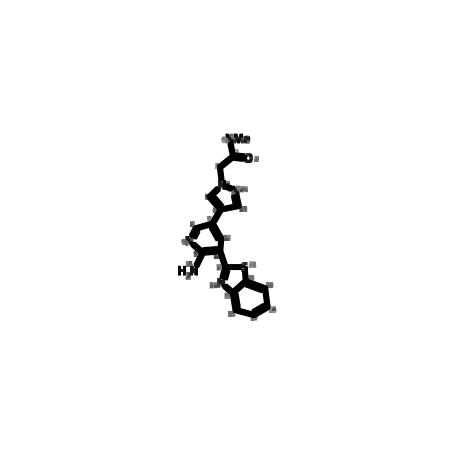 CNC(=O)Cn1cc(-c2cnc(N)c(-c3nc4ccccc4s3)c2)cn1